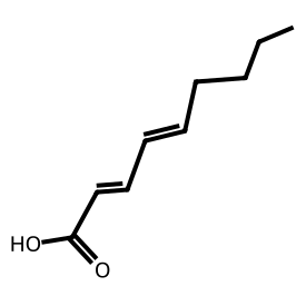 CCCC/C=C/C=C/C(=O)O